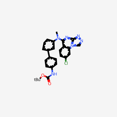 CN(c1cccc(-c2ccc(NC(=O)OC(C)(C)C)cc2)c1)c1nc2nncn2c2cc(Cl)ccc12